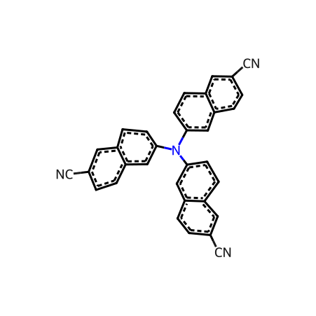 N#Cc1ccc2cc(N(c3ccc4cc(C#N)ccc4c3)c3ccc4cc(C#N)ccc4c3)ccc2c1